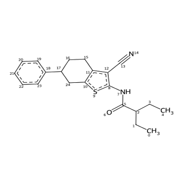 CCC(CC)C(=O)Nc1sc2c(c1C#N)CCC(c1ccccc1)C2